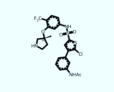 CC(=O)Nc1cccc(-c2cc(S(=O)(=O)Nc3ccc(C(F)(F)F)c(O[C@]4(C)CCNC4)c3)sc2Cl)c1